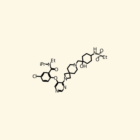 CCN(C(=O)c1cc(Cl)ccc1Oc1cncnc1N1CC2(CCN(CC3(O)CCC(NS(=O)(=O)CC)CC3)CC2)C1)C(C)C